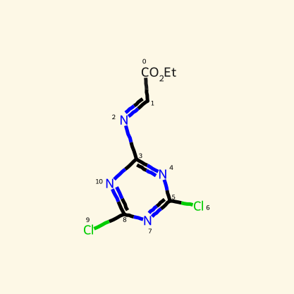 CCOC(=O)C=Nc1nc(Cl)nc(Cl)n1